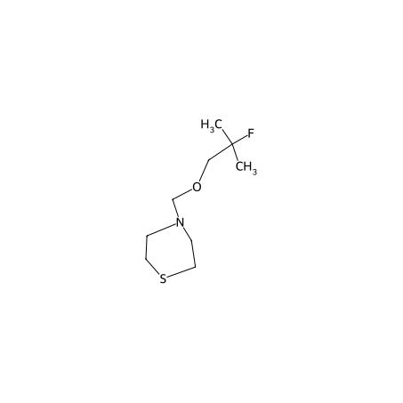 CC(C)(F)COCN1CCSCC1